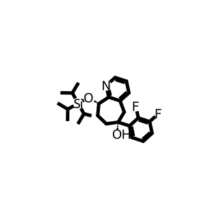 CC(C)[Si](O[C@H]1CC[C@](O)(c2cccc(F)c2F)Cc2cccnc21)(C(C)C)C(C)C